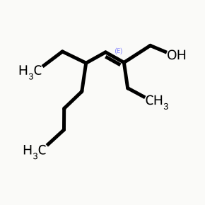 CCCCC(/C=C(\CC)CO)CC